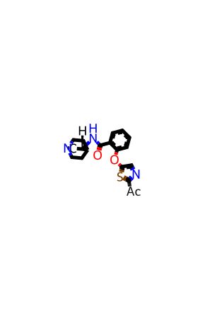 CC(=O)c1ncc(Oc2ccccc2C(=O)N[C@H]2CN3CCC2CC3)s1